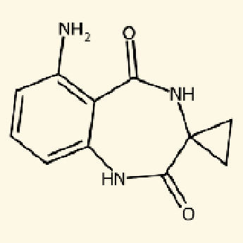 Nc1cccc2c1C(=O)NC1(CC1)C(=O)N2